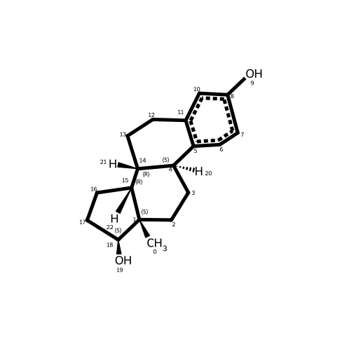 C[C@]12CC[C@@H]3c4ccc(O)cc4CC[C@H]3[C@H]1CC[C@@H]2O